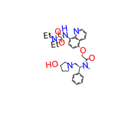 CCN(CC)S(=O)(=O)Nc1ccc(OCC(=O)N(C)[C@H](CN2CC[C@H](O)C2)c2ccccc2)c2cccnc12